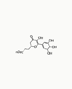 CCCCCCCCCCCCC1CC(=O)C(O)=C(C2=CC(O)C(O)C(O)=C2)O1